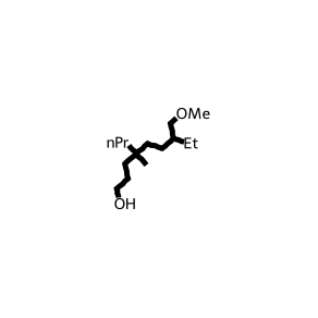 CCCC(C)(CCCO)CCC(CC)COC